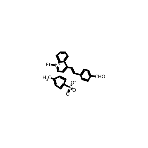 CC[n+]1ccc(C=Cc2ccc(C=O)cc2)c2ccccc21.Cc1ccc(S(=O)(=O)[O-])cc1